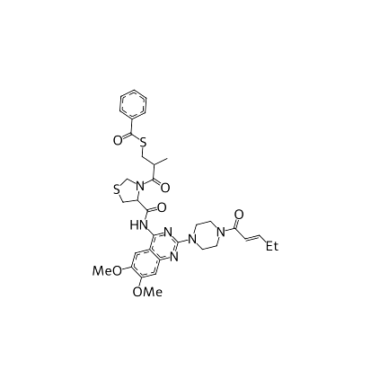 CC/C=C/C(=O)N1CCN(c2nc(NC(=O)C3CSCN3C(=O)C(C)CSC(=O)c3ccccc3)c3cc(OC)c(OC)cc3n2)CC1